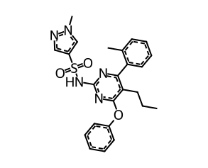 CCCc1c(Oc2ccccc2)nc(NS(=O)(=O)c2cnn(C)c2)nc1-c1ccccc1C